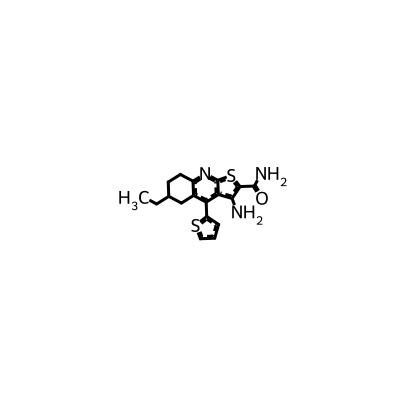 CCC1CCc2nc3sc(C(N)=O)c(N)c3c(-c3cccs3)c2C1